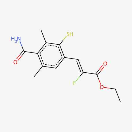 CCOC(=O)C(F)=Cc1cc(C)c(C(N)=O)c(C)c1S